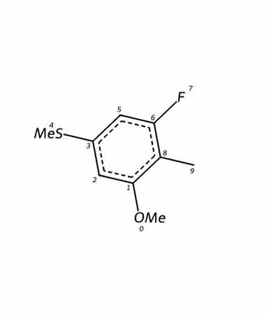 COc1cc(SC)cc(F)c1C